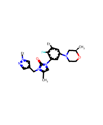 CCc1cc(N2CCO[C@H](C)C2)cc(-n2cc(C)n(Cc3cnn(CC)c3)c2=O)c1F